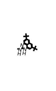 CNC1=Nc2cc(C(C)(C)C)cc3cc(C(C)(C)C)cc(c23)N1